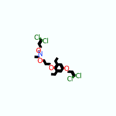 CCc1cc(OCC=C(Cl)Cl)cc(CC)c1OCCCOC(C)=NOCC=C(Cl)Cl